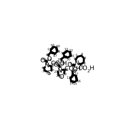 O=C(O)C1CCCCCN1C(=O)OCc1ccccc1.O=C(O)C1COCCN1C(=O)OCc1ccccc1.O=C(O)C1CSCCN1C(=O)OCc1ccccc1